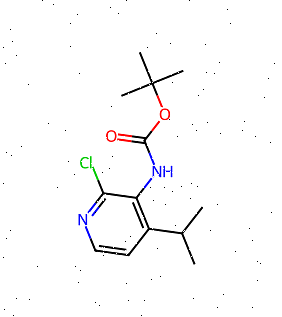 CC(C)c1ccnc(Cl)c1NC(=O)OC(C)(C)C